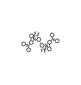 FC(F)(F)c1ccc(-c2ccc(C(F)(F)F)c(-n3c4ccccc4c4cc(N(c5ccccc5)c5ccccc5)ccc43)c2)cc1-n1c2ccccc2c2cc(N(c3ccccc3)c3ccccc3)ccc21